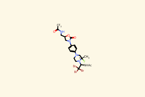 CC(=O)NC(N1CCN(c2ccc(N3CC(CNC(=O)C(F)(F)F)OC3=O)cc2)C[C@]1(C)F)C(Br)(Br)Br